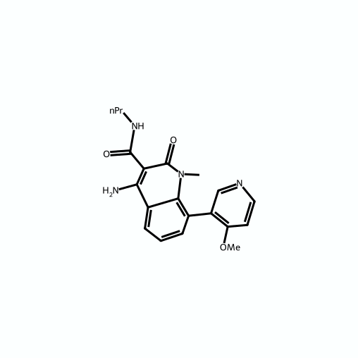 CCCNC(=O)c1c(N)c2cccc(-c3cnccc3OC)c2n(C)c1=O